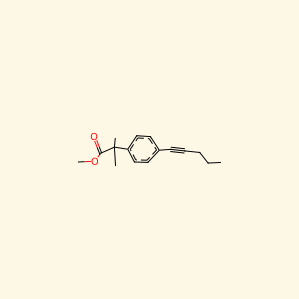 CCCC#Cc1ccc(C(C)(C)C(=O)OC)cc1